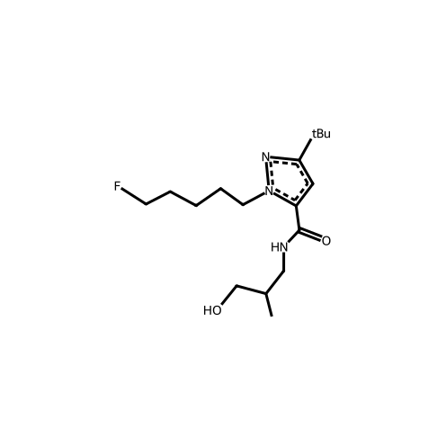 CC(CO)CNC(=O)c1cc(C(C)(C)C)nn1CCCCCF